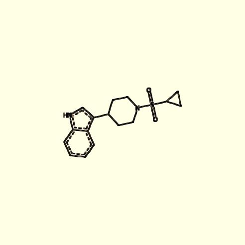 O=S(=O)(C1CC1)N1CCC(c2c[nH]c3ccccc23)CC1